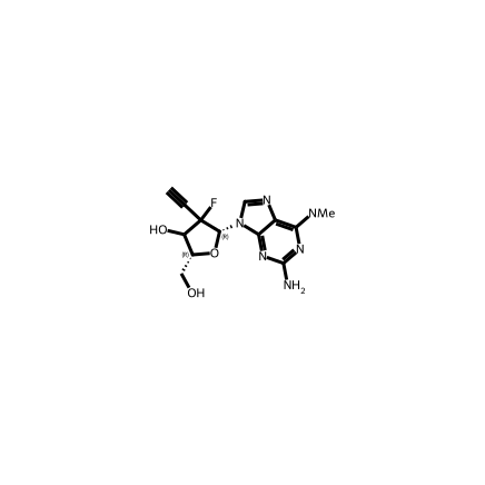 C#CC1(F)C(O)[C@@H](CO)O[C@H]1n1cnc2c(NC)nc(N)nc21